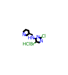 Cl.Clc1ncc(Br)c(NCc2cccnc2)n1